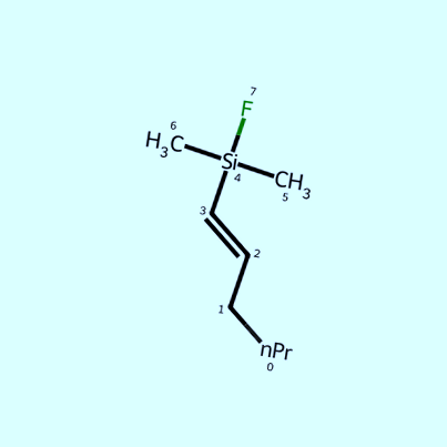 CCCCC=C[Si](C)(C)F